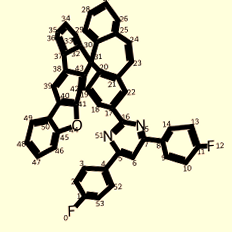 Fc1ccc(-c2cc(-c3ccc(F)cc3)nc(-c3ccc4c(c3)C=Cc3ccccc3C43c4ccccc4-c4cc5c(cc43)oc3ccccc35)n2)cc1